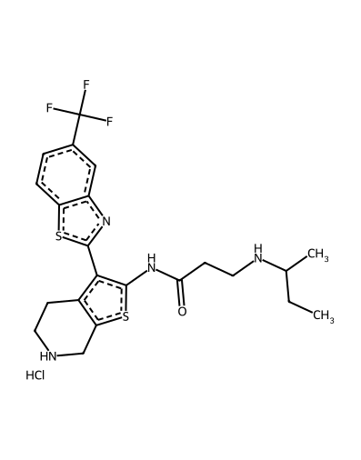 CCC(C)NCCC(=O)Nc1sc2c(c1-c1nc3cc(C(F)(F)F)ccc3s1)CCNC2.Cl